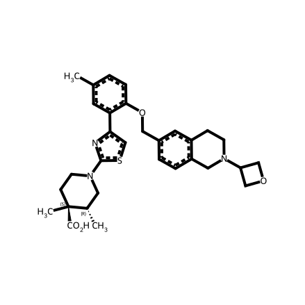 Cc1ccc(OCc2ccc3c(c2)CCN(C2COC2)C3)c(-c2csc(N3CC[C@](C)(C(=O)O)[C@@H](C)C3)n2)c1